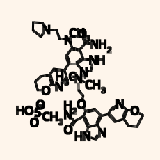 CN(CCN1CCCC1)c1cc(-c2cnc3c(c2)CCCO3)c2c(c1C(N)=O)NCN2[N+](C)(C)CCOc1cc(-c2cnc3c(c2)CCCO3)c2nc[nH]c2c1C(N)=O.CS(=O)(=O)O